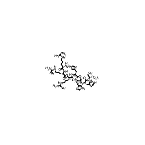 N=C(N)NCCC[C@H](NC(=O)[C@H](CCCNC(=N)N)NC(=O)[C@@H](N)CCCNC(=N)N)C(=O)N[C@@H](Cc1c[nH]cn1)C(=O)N[C@@H](Cc1c[nH]cn1)C(=O)N[C@@H](Cc1c[nH]cn1)C(=O)N[C@@H](CS)C(=O)O